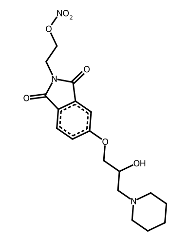 O=C1c2ccc(OCC(O)CN3CCCCC3)cc2C(=O)N1CCO[N+](=O)[O-]